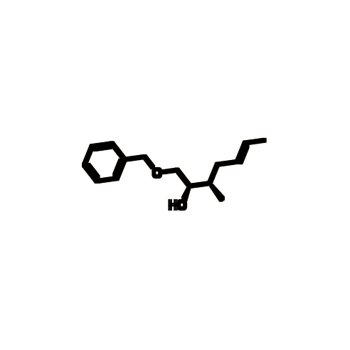 CC=CC[C@@H](C)[C@@H](O)COCc1ccccc1